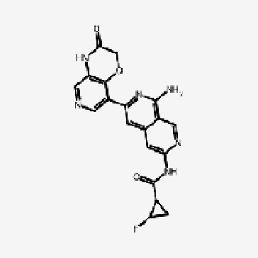 Nc1nc(-c2cncc3c2OCC(=O)N3)cc2cc(NC(=O)[C@H]3C[C@H]3F)ncc12